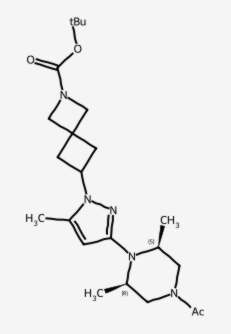 CC(=O)N1C[C@@H](C)N(c2cc(C)n(C3CC4(C3)CN(C(=O)OC(C)(C)C)C4)n2)[C@@H](C)C1